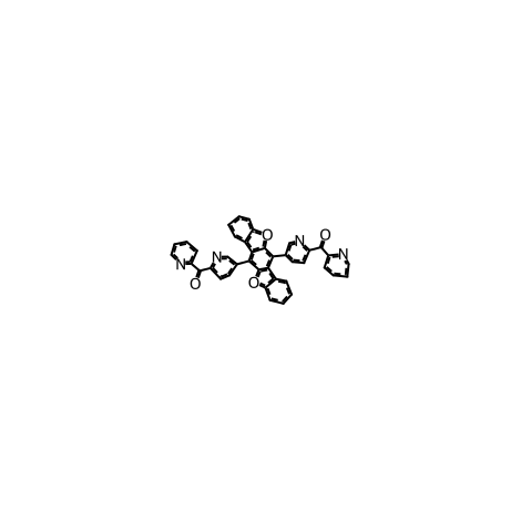 O=C(c1ccccn1)c1ccc(-c2c3oc4ccccc4c3c(-c3ccc(C(=O)c4ccccn4)nc3)c3oc4ccccc4c23)cn1